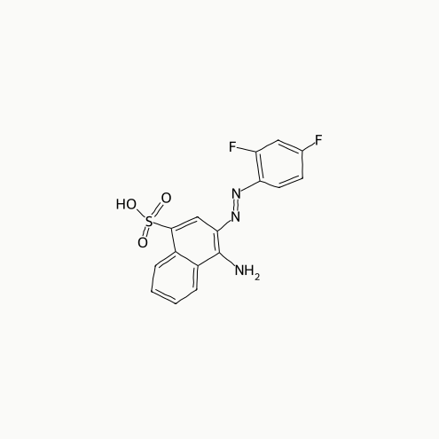 Nc1c(N=Nc2ccc(F)cc2F)cc(S(=O)(=O)O)c2ccccc12